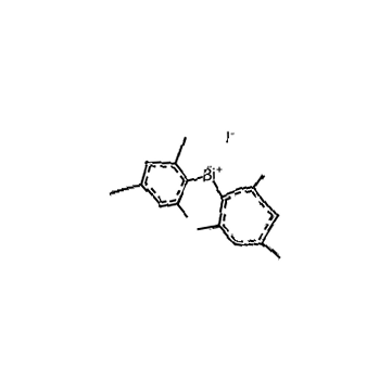 Cc1cc(C)[c]([Bi+][c]2c(C)cc(C)cc2C)c(C)c1.[I-]